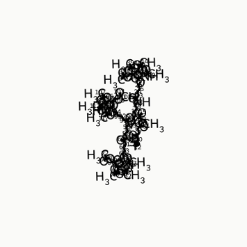 CCC(OC(=O)CCC(=O)CS(#P)=S)C(=O)N(CCCNC(=O)CCCCO[C@@H]1OC(COC(C)=O)[C@H](OC(C)=O)[C@H](OC(C)=O)C1NC(C)=O)CCCN(CCCNC(=O)CCCCO[C@@H]1OC(COC(C)=O)[C@H](OC(C)=O)[C@H](OC(C)=O)C1NC(C)=O)C(=O)CCCCO[C@@H]1OC(COC(C)=O)[C@H](OC(C)=O)[C@H](OC(C)=O)C1NC(C)=O